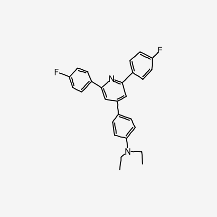 CCN(CC)c1ccc(-c2cc(-c3ccc(F)cc3)nc(-c3ccc(F)cc3)c2)cc1